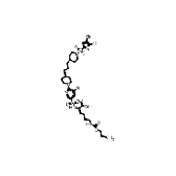 C=CCOC(=O)NCCCCC(NS(=O)(=O)c1cnc(N2CCC(CCCC3CCN(S(=O)(=O)c4cc(Br)c(Cl)s4)CC3)CC2)c(Br)c1)C(=O)O